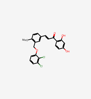 COc1ccc(/C=C/C(=O)c2ccc(O)cc2O)cc1COc1cccc(Cl)c1Cl